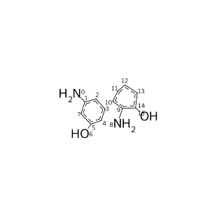 Nc1cccc(O)c1.Nc1ccccc1O